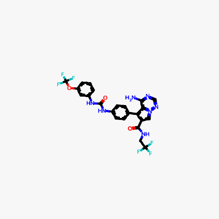 Nc1ncnn2cc(C(=O)NCC(F)(F)F)c(-c3ccc(NC(=O)Nc4cccc(OC(F)(F)F)c4)cc3)c12